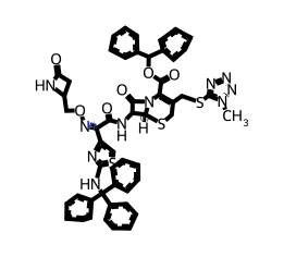 Cn1nnnc1SCC1=C(C(=O)OC(c2ccccc2)c2ccccc2)N2C(=O)C(NC(=O)/C(=N\OCC3CC(=O)N3)c3csc(NC(c4ccccc4)(c4ccccc4)c4ccccc4)n3)[C@H]2SC1